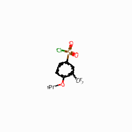 CC(C)Oc1ccc(S(=O)(=O)Cl)cc1C(F)(F)F